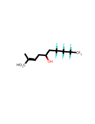 CC(=CCC(O)CC(F)(F)C(F)(F)C(F)(F)C(F)(F)F)C(=O)O